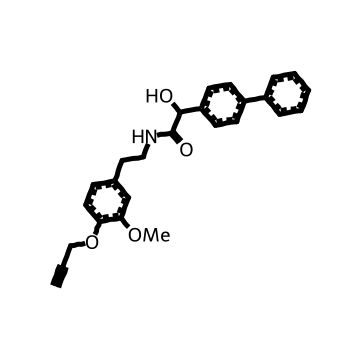 C#CCOc1ccc(CCNC(=O)C(O)c2ccc(-c3ccccc3)cc2)cc1OC